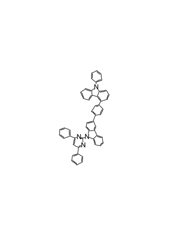 c1ccc(-c2cc(-c3ccccc3)nc(-n3c4ccccc4c4cc(-c5ccc(-c6cccc7c6c6ccccc6n7-c6ccccc6)cc5)ccc43)n2)cc1